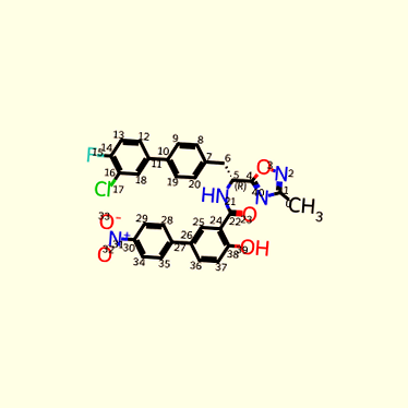 Cc1noc([C@@H](Cc2ccc(-c3ccc(F)c(Cl)c3)cc2)NC(=O)c2cc(-c3ccc([N+](=O)[O-])cc3)ccc2O)n1